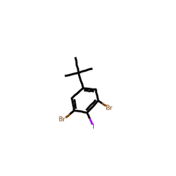 CC(C)(C)c1cc(Br)c(I)c(Br)c1